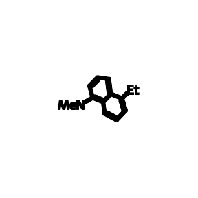 CCc1cccc2c(NC)cccc12